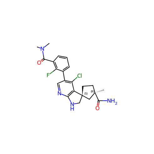 CN(C)C(=O)c1cccc(-c2cnc3c(c2Cl)[C@@]2(CC[C@@](C)(C(N)=O)C2)CN3)c1F